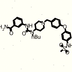 CCCCN(C(=O)Nc1cccc(C(N)=O)c1)C1CCN(Cc2ccc(Oc3ccc(NS(C)(=O)=O)cc3)cc2)CC1